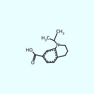 CC(C)N1CCCc2ccc(C(=O)O)cc21